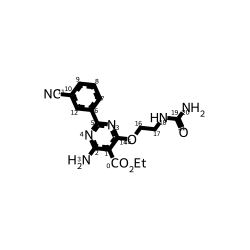 CCOC(=O)c1c(N)nc(-c2cccc(C#N)c2)nc1OCCNC(N)=O